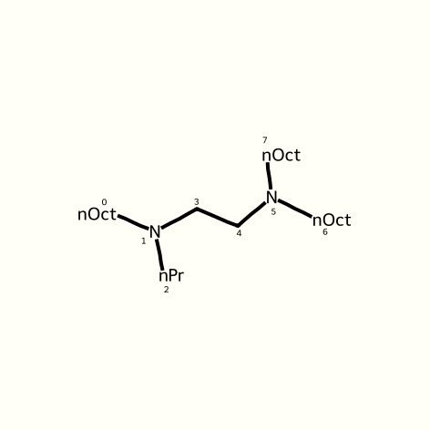 CCCCCCCCN(CCC)CCN(CCCCCCCC)CCCCCCCC